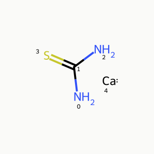 NC(N)=S.[Ca]